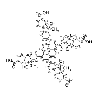 CC1(C)c2cc(C(=O)O)ccc2-c2ccc(-c3cc(-c4ccc5c(c4)C(C)(C)c4cc(C(=O)O)ccc4-5)c4ccc5c(-c6ccc7c(c6)C(C)(C)c6cc(C(=O)O)ccc6-7)cc(-c6ccc7c(c6)C(C)(C)c6cc(C(=O)O)ccc6-7)c6ccc3c4c65)cc21